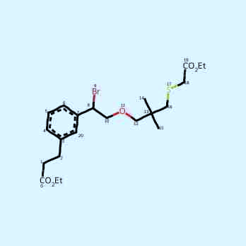 CCOC(=O)CCc1cccc(C(Br)COCC(C)(C)CSCC(=O)OCC)c1